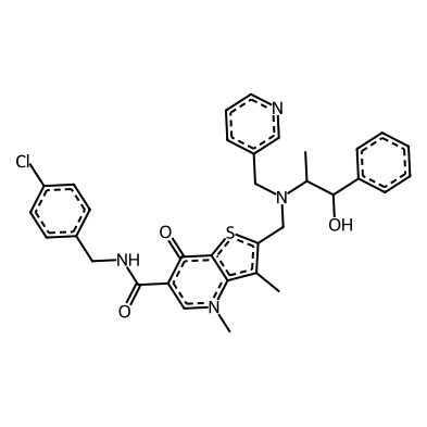 Cc1c(CN(Cc2cccnc2)C(C)C(O)c2ccccc2)sc2c(=O)c(C(=O)NCc3ccc(Cl)cc3)cn(C)c12